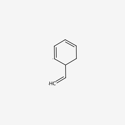 [CH]=CC1[C]=CC=CC1